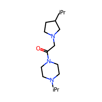 CC(C)C1CCN(CC(=O)N2CCN(C(C)C)CC2)C1